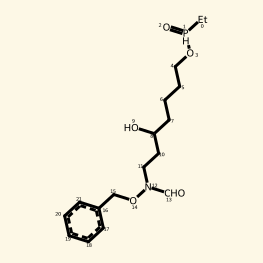 CC[PH](=O)OCCCCC(O)CCN(C=O)OCc1ccccc1